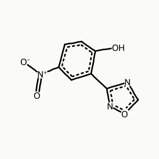 O=[N+]([O-])c1ccc(O)c(-c2ncon2)c1